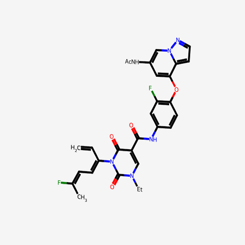 C=C/C(=C\C=C(/C)F)n1c(=O)c(C(=O)Nc2ccc(Oc3cc(NC(C)=O)cn4nccc34)c(F)c2)cn(CC)c1=O